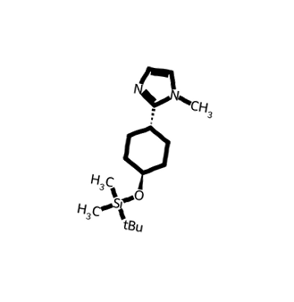 Cn1ccnc1[C@H]1CC[C@H](O[Si](C)(C)C(C)(C)C)CC1